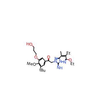 CCOc1nn2c(=N)n(CC(=O)c3cc(OCCCO)c(OC)c(C(C)(C)C)c3)nc2c(C)c1CC